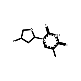 Cc1cn(C2CC(F)CO2)c(=O)[nH]c1=O